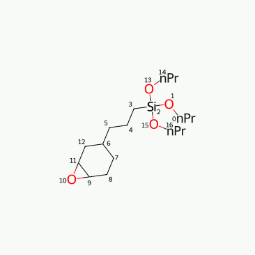 CCCO[Si](CCCC1CCC2OC2C1)(OCCC)OCCC